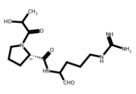 CC(O)C(=O)N1CCC[C@H]1C(=O)NC(C=O)CCCNC(=N)N